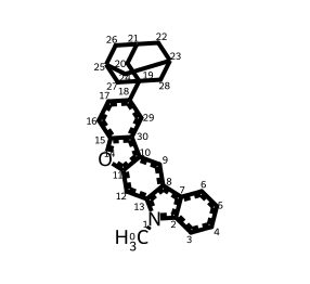 Cn1c2ccccc2c2cc3c(cc21)oc1ccc(C24CC5CC(CC(C5)C2)C4)cc13